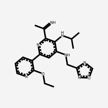 CCOc1ncccc1-c1cc(NCc2ncon2)c(NC(C)C)c(C(C)=N)n1